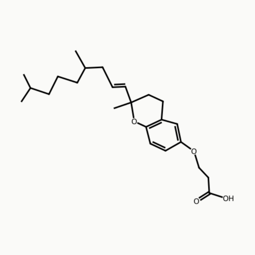 CC(C)CCCC(C)C/C=C/C1(C)CCc2cc(OCCC(=O)O)ccc2O1